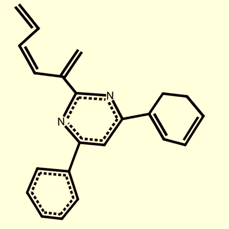 C=C/C=C\C(=C)c1nc(C2=CC=CCC2)cc(-c2ccccc2)n1